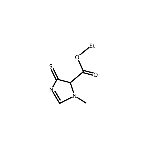 CCOC(=O)C1C(=S)N=CN1C